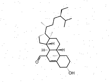 CC[C@H](CC[C@@H](C)[C@H]1CC[C@H]2[C@@H]3C(C=O)C=C4C[C@@H](O)CC[C@]4(C)[C@H]3CC[C@]12C)C(C)C